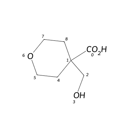 O=C(O)C1(CO)CCOCC1